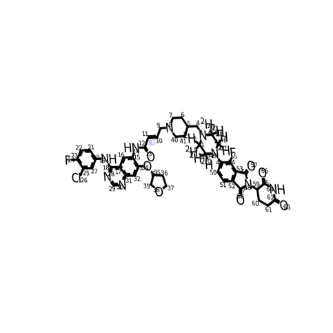 [2H]C1([2H])N(CC2CCN(C/C=C/C(=O)Nc3cc4c(Nc5ccc(F)c(Cl)c5)ncnc4cc3O[C@H]3CCOC3)CC2)C([2H])([2H])C([2H])([2H])N(c2ccc3c(c2F)C(=O)N(C2CCC(=O)NC2=O)C3=O)C1([2H])[2H]